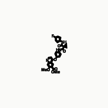 COC(=O)c1cc2c(Oc3ccc(NC(=O)C4(C(=O)Nc5ccc(F)cc5)CC4)cc3)ccnc2cc1OC